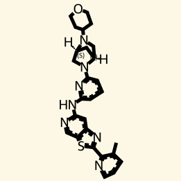 Cc1cccnc1-c1nc2cc(Nc3cccc(N4C[C@@H]5C[C@H]4CN5C4CCOCC4)n3)ncc2s1